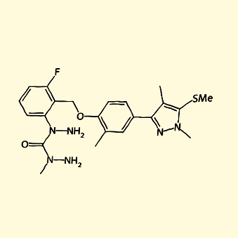 CSc1c(C)c(-c2ccc(OCc3c(F)cccc3N(N)C(=O)N(C)N)c(C)c2)nn1C